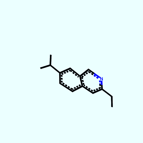 CCc1cc2ccc(C(C)C)cc2cn1